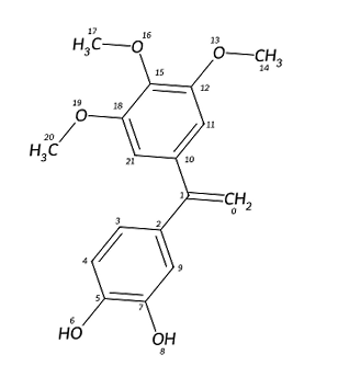 C=C(c1ccc(O)c(O)c1)c1cc(OC)c(OC)c(OC)c1